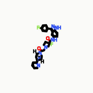 O=C(CN1CCC(F)(C(=O)Nc2ccc3[nH]nc(-c4ccc(F)cc4)c3c2)C1)N1C[C@@H]2CC[C@H]1CN2c1ccccn1